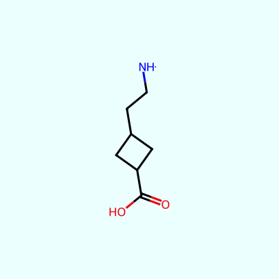 [NH]CCC1CC(C(=O)O)C1